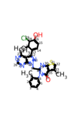 Cc1ccccc1-n1c(Cn2nc(C3=CC=C(O)C(Cl)C3C)c3c(C)ncnc32)nc2scc(C)c2c1=O